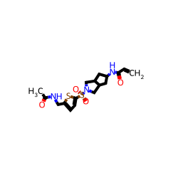 C=CC(=O)NC1CC2CN(S(=O)(=O)c3ccc(CNC(C)=O)s3)CC2C1